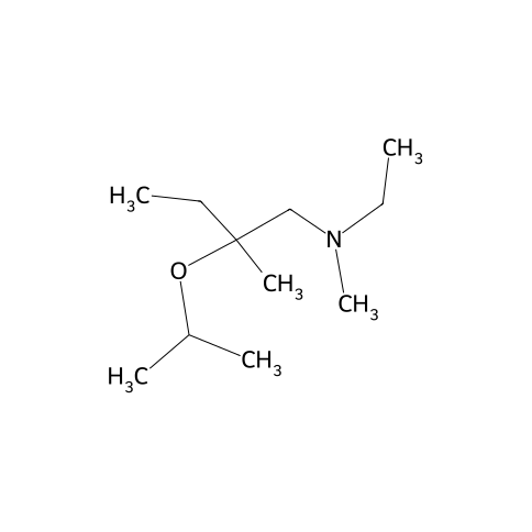 CCN(C)CC(C)(CC)OC(C)C